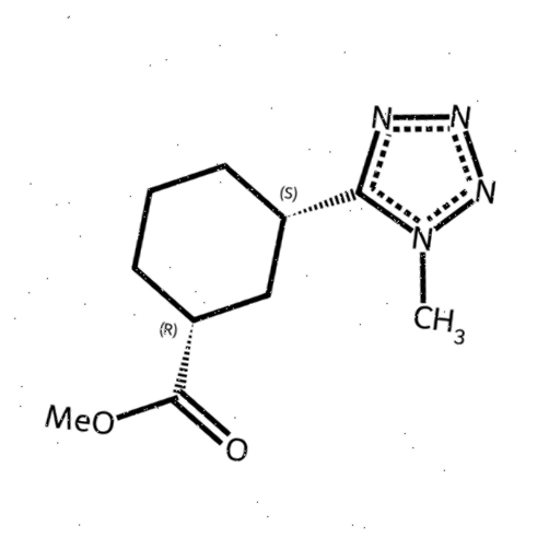 COC(=O)[C@@H]1CCC[C@H](c2nnnn2C)C1